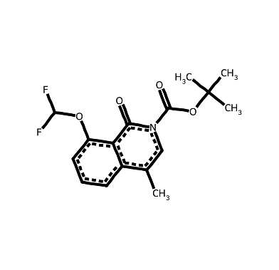 Cc1cn(C(=O)OC(C)(C)C)c(=O)c2c(OC(F)F)cccc12